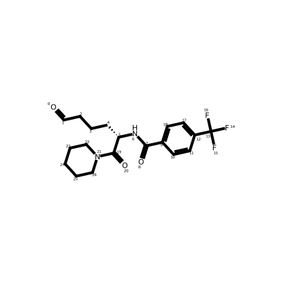 O=CCCC[C@H](NC(=O)c1ccc(C(F)(F)F)cc1)C(=O)N1CCCCC1